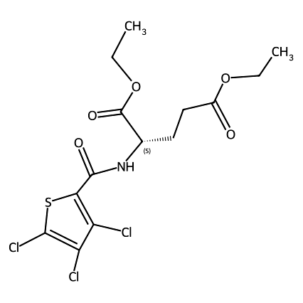 CCOC(=O)CC[C@H](NC(=O)c1sc(Cl)c(Cl)c1Cl)C(=O)OCC